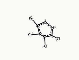 CCc1cnc(Cl)c(Cl)c1Cl